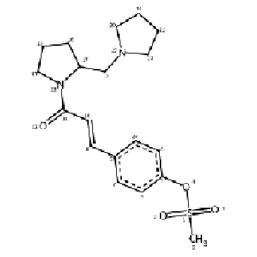 CS(=O)(=O)Oc1ccc(C=CC(=O)N2CCCC2CN2CCCC2)cc1